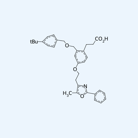 Cc1oc(-c2ccccc2)nc1CCOc1ccc(CCC(=O)O)c(COCc2ccc(C(C)(C)C)cc2)c1